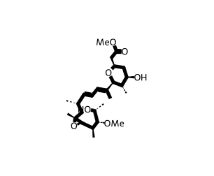 COC(=O)C[C@H]1C[C@@H](O)[C@H](C)[C@@H](/C(C)=C/C=C/[C@@H](C)C[C@@]2(C)O[C@@H]2[C@H](C)[C@@H](OC)[C@@H](C)O)O1